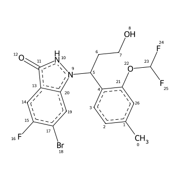 Cc1ccc(C(CCO)n2[nH]c(=O)c3cc(F)c(Br)cc32)c(OC(F)F)c1